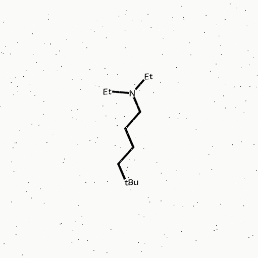 CCN(CC)CCCCC(C)(C)C